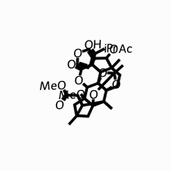 COC(=O)CC1C2(C)CC3(OC)C4OC(=O)/C(=C(\O)C(C)C)C5C(C)(C(OC(C)=O)c6ccoc6)CCC67OC(C)(OC546)OC3(C2)C17C